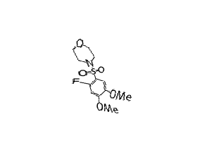 COc1cc(F)c(S(=O)(=O)N2CCOCC2)cc1OC